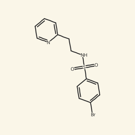 O=S(=O)(NCCc1ccccn1)c1ccc(Br)cc1